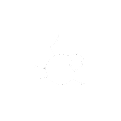 CC1CCCC(N)c2cccc(c2)CC(CC#N)NC1=O